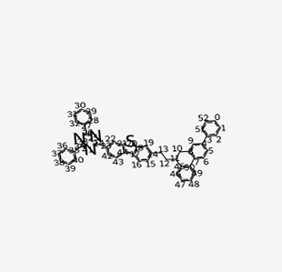 c1ccc(-c2ccc3c(c2)CC(CCc2ccc4c(c2)sc2cc(-c5nc(-c6ccccc6)nc(-c6ccccc6)n5)ccc24)c2ccccc2-3)cc1